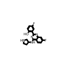 Oc1ccc(F)cc1-c1nc(NC2CCNC2)c2ccc(F)cc2n1